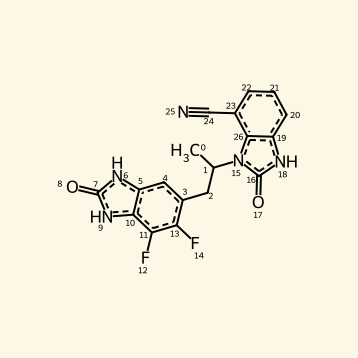 CC(Cc1cc2[nH]c(=O)[nH]c2c(F)c1F)n1c(=O)[nH]c2cccc(C#N)c21